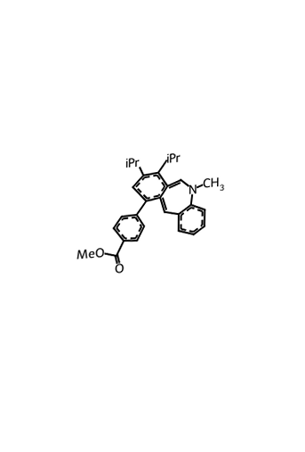 COC(=O)c1ccc(-c2cc(C(C)C)c(C(C)C)c3c2=Cc2ccccc2N(C)C=3)cc1